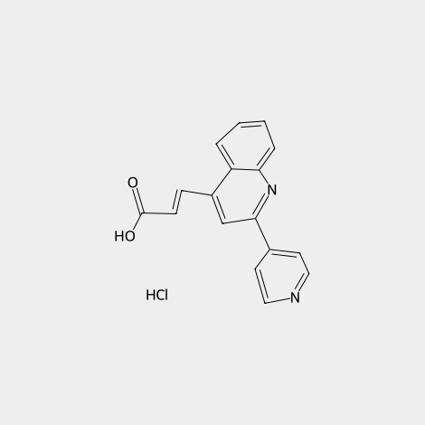 Cl.O=C(O)C=Cc1cc(-c2ccncc2)nc2ccccc12